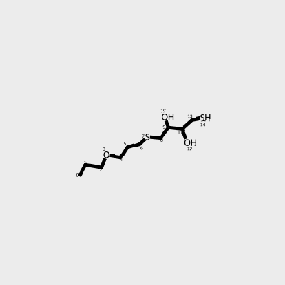 CCCOCCCSCC(O)C(O)CS